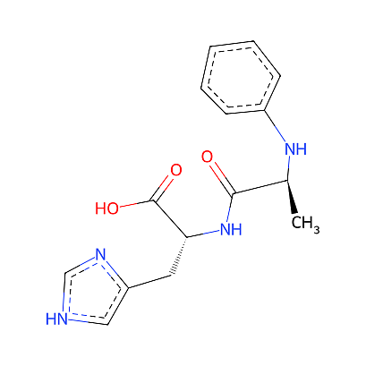 C[C@H](Nc1ccccc1)C(=O)N[C@H](Cc1c[nH]cn1)C(=O)O